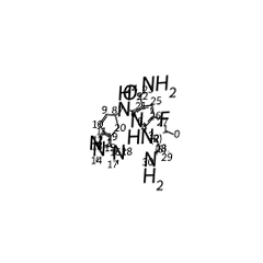 CC[C@@H](Nc1nc(NC2C=Cc3nn(C)c(N(C)C)c3C2)c(C(N)=O)cc1F)[C@H](C)N